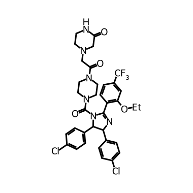 CCOc1cc(C(F)(F)F)ccc1C1=NC(c2ccc(Cl)cc2)C(c2ccc(Cl)cc2)N1C(=O)N1CCN(C(=O)CN2CCNC(=O)C2)CC1